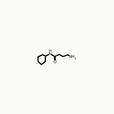 NCCCC(=O)NC1CCCCC1